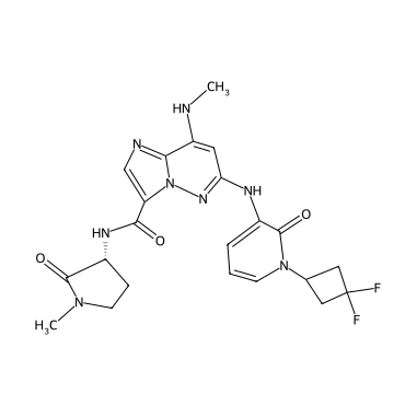 CNc1cc(Nc2cccn(C3CC(F)(F)C3)c2=O)nn2c(C(=O)N[C@@H]3CCN(C)C3=O)cnc12